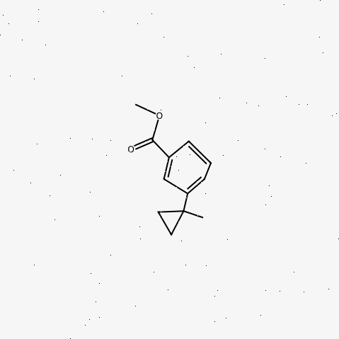 COC(=O)c1cccc(C2(C)CC2)c1